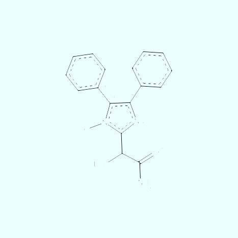 CC(C(N)=O)c1nc(-c2ccccc2)c(-c2ccccc2)n1C